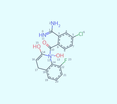 N=C(N)c1cc(Cl)ccc1C(=O)[N+]1(O)C(O)=CCc2cccc(F)c21